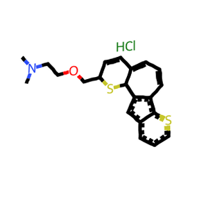 CN(C)CCOCC1C=CC2=CC=Cc3c(cc4cccsc3-4)C2S1.Cl